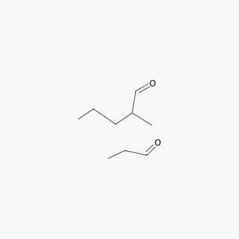 CCC=O.CCCC(C)C=O